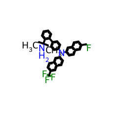 CCC(N)(CC)c1ccccc1-c1ccc(N(c2ccc3cc(CF)ccc3c2)c2ccc3cc(C(F)(F)F)ccc3c2)cc1